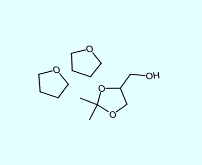 C1CCOC1.C1CCOC1.CC1(C)OCC(CO)O1